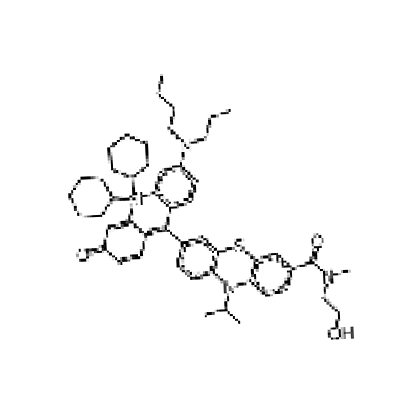 CCCCN(CCC)c1ccc2c(c1)[Si](C1CCCCC1)(C1CCCCC1)C1=CC(=O)C=CC1=C2c1ccc2c(c1)Sc1cc(C(=O)N(C)CCO)ccc1N2C(C)C